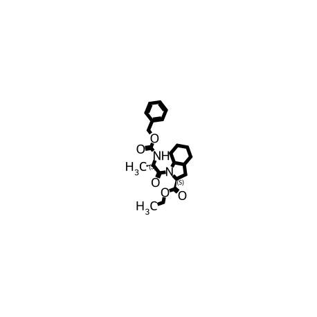 CCOC(=O)[C@@H]1CC2CCCCC2N1C(=O)[C@H](C)NC(=O)OCc1ccccc1